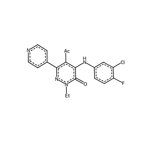 CCn1nc(-c2ccncc2)c(C(C)=O)c(Nc2ccc(F)c(Cl)c2)c1=O